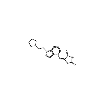 O=C1NC(=O)C(=Cc2cccc3c2ccn3CCN2CCCC2)S1